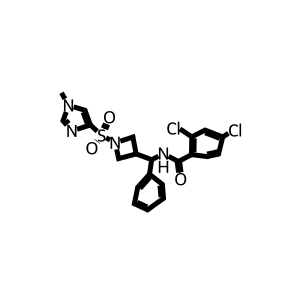 Cn1cnc(S(=O)(=O)N2CC(C(NC(=O)c3ccc(Cl)cc3Cl)c3ccccc3)C2)c1